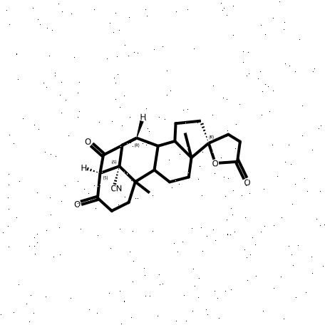 CC12CCC3C(C1CC[C@@]21CCC(=O)O1)[C@H]1C[C@]2(C#N)[C@@H](C(=O)CCC32C)C1=O